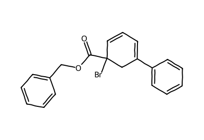 O=C(OCc1ccccc1)C1(Br)C=CC=C(c2ccccc2)C1